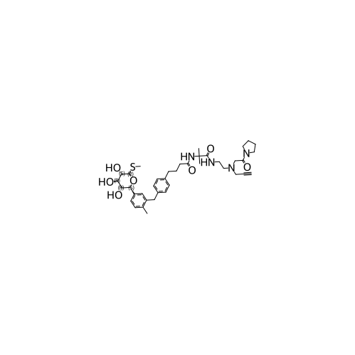 C#CCN(CCNC(=O)C(C)(C)NC(=O)CCCc1ccc(Cc2cc([C@@H]3O[C@H](SC)[C@@H](O)[C@H](O)[C@H]3O)ccc2C)cc1)CC(=O)N1CCCC1